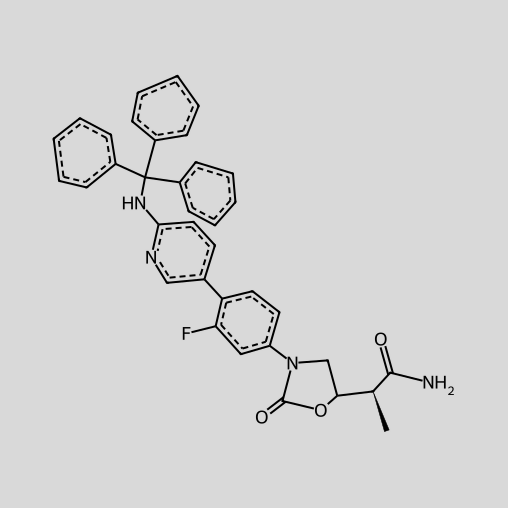 C[C@H](C(N)=O)C1CN(c2ccc(-c3ccc(NC(c4ccccc4)(c4ccccc4)c4ccccc4)nc3)c(F)c2)C(=O)O1